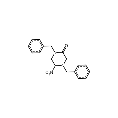 O=C1CN(Cc2ccccc2)C([N+](=O)[O-])CN1Cc1ccccc1